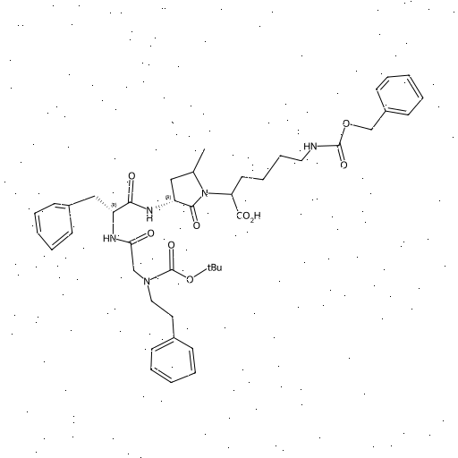 CC1C[C@@H](NC(=O)[C@@H](Cc2ccccc2)NC(=O)CN(CCc2ccccc2)C(=O)OC(C)(C)C)C(=O)N1C(CCCCNC(=O)OCc1ccccc1)C(=O)O